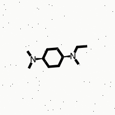 CCN(C)[C@H]1CC[C@@H](N(C)C)CC1